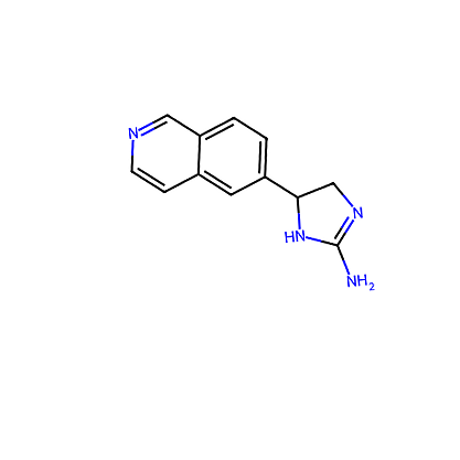 NC1=NCC(c2ccc3cnccc3c2)N1